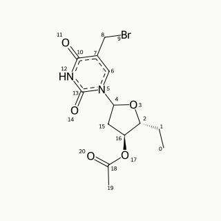 CC[C@H]1OC(n2cc(CBr)c(=O)[nH]c2=O)C[C@@H]1OC(C)=O